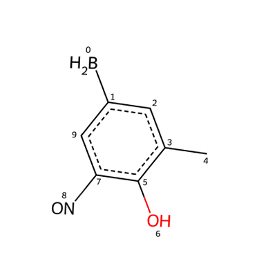 Bc1cc(C)c(O)c(N=O)c1